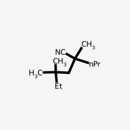 CCCC(C)(C#N)CC(C)(C)CC